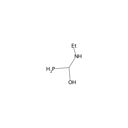 CCNC(O)P